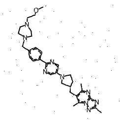 COCCN1CCN(Cc2ccc(-c3ncc(N4CC[C@@H](Cc5c(C)nc6nc(C)nn6c5C)C4)cn3)cc2)CC1